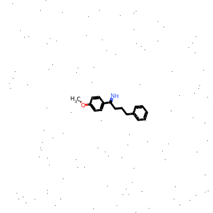 COc1ccc(C(=N)CCCc2ccccc2)cc1